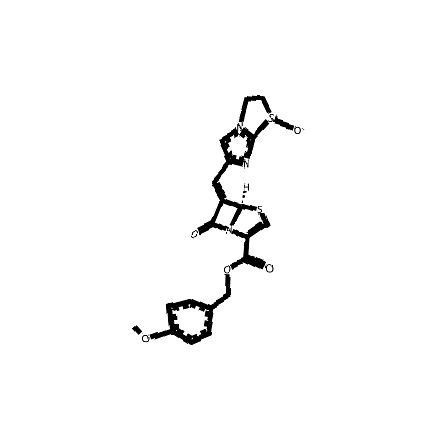 COc1ccc(COC(=O)C2=CS[C@@H]3/C(=C\c4cn5c(n4)[S+]([O-])CC5)C(=O)N23)cc1